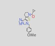 COc1ccc(CN2Cn3ncnc3-c3c2sc2c3CCCN2C(=O)C2CC2)cc1